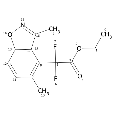 CCOC(=O)C(F)(F)c1c(C)ccc2onc(C)c12